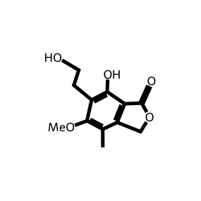 COc1c(C)c2c(c(O)c1CCO)C(=O)OC2